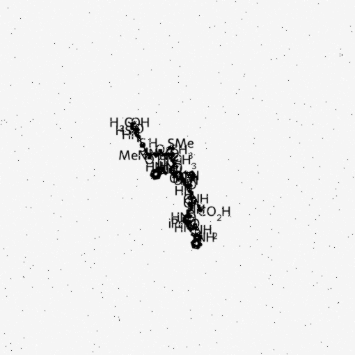 CN[C@@H](CSSCCNC(=O)[C@@H](S)[C@@H](C)O)C(=O)NCC(=O)N[C@@H](C[C@@H](C)SC)C(=O)N[C@@H](C)C(=O)N[C@@H](Cc1c[nH]c2ccccc12)C(=O)N[C@@H](Cc1cnc[nH]1)C(=O)NCC(=O)NCC(=O)N[C@@H](CCC(=O)O)C(=O)NCC(=O)NC(C(=O)N[C@@H](Cc1c[nH]c2ccccc12)C(N)=O)C(C)C